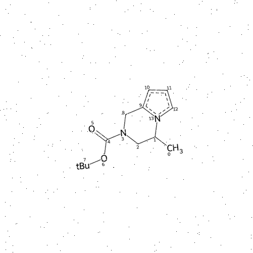 CC1CN(C(=O)OC(C)(C)C)Cc2cccn21